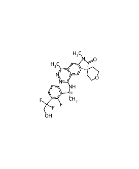 Cc1nnc(N[C@H](C)c2cccc(C(F)(F)CO)c2F)c2cc3c(cc12)N(C)C(=O)C31CCOCC1